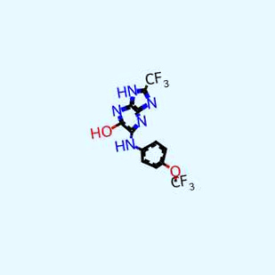 Oc1nc2[nH]c(C(F)(F)F)nc2nc1Nc1ccc(OC(F)(F)F)cc1